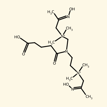 CC(C[N+](C)(C)CCN(C[N+](C)(C)CC(C)=NO)C(=O)CCCC(=O)O)=NO